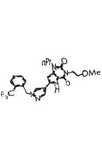 CCCn1c(=O)n(CCOC)c(=O)c2[nH]c(-c3cnn(Cc4ccccc4C(F)(F)F)c3)cc21